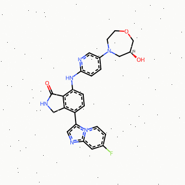 O=C1NCc2c(-c3cnc4cc(F)ccn34)ccc(Nc3ccc(N4CCOC[C@@H](O)C4)cn3)c21